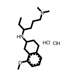 CCC(CCCN(C)C)NC1CCc2cccc(OC)c2C1.Cl.Cl